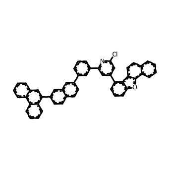 Clc1cc(-c2cccc3oc4c5ccccc5ccc4c23)cc(-c2cccc(-c3ccc4ccc(-c5cc6ccccc6c6ccccc56)cc4c3)c2)n1